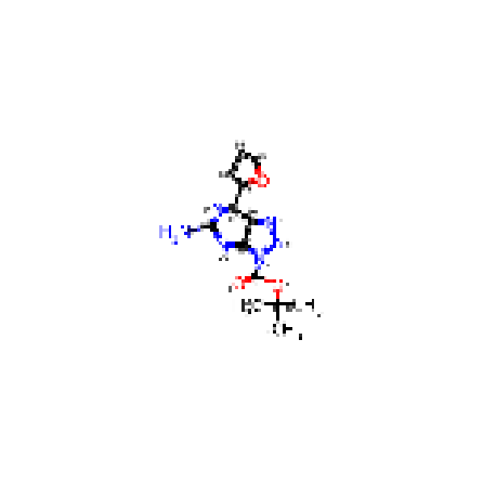 CC(C)(C)OC(=O)n1nnc2c(-c3ccco3)nc(N)nc21